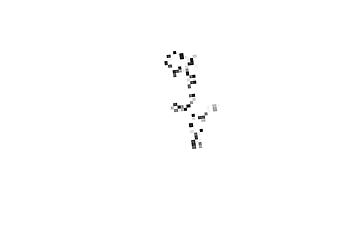 CCC1CC(CC)C(C(=O)OCOC2C3(C)CCC(C3)C2(C)C)C1